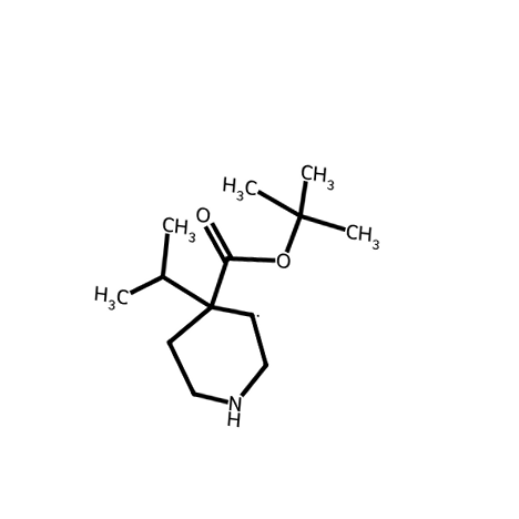 CC(C)C1(C(=O)OC(C)(C)C)[CH]CNCC1